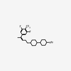 CCCC1CCC(C2CCC(CCC=C(C)c3cc(F)c(C(F)(F)F)c(F)c3)CC2)CC1